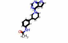 CC(=O)Nc1cccc(C2CCCN(c3ncnc4[nH]ccc34)C2)c1